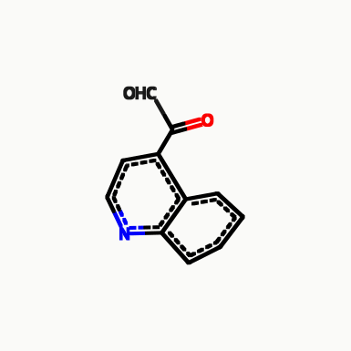 O=CC(=O)c1ccnc2ccccc12